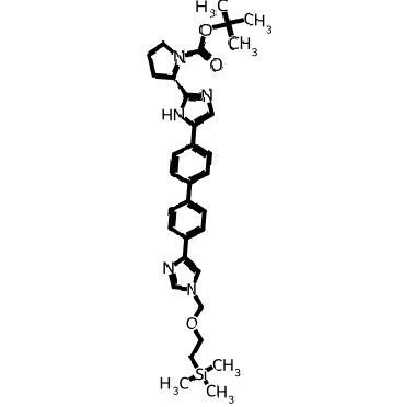 CC(C)(C)OC(=O)N1CCC[C@@H]1c1ncc(-c2ccc(-c3ccc(-c4cn(COCC[Si](C)(C)C)cn4)cc3)cc2)[nH]1